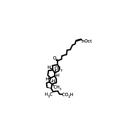 CCCCCCCC/C=C\CCCCCCCC(=O)C1CC[C@@]2(C)[C@H](CC[C@@H]3[C@@H]2CC[C@]2(C)[C@@H]([C@H](C)CCC(=O)O)CC[C@@H]32)C1